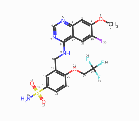 COc1cc2ncnc(NCc3cc(S(N)(=O)=O)ccc3OCC(F)(F)F)c2cc1I